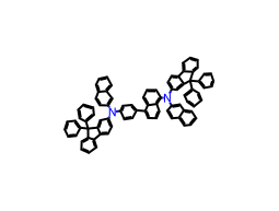 c1ccc(C2(c3ccccc3)c3ccccc3-c3ccc(N(c4ccc(-c5cccc6c(N(c7ccc8c(c7)C(c7ccccc7)(c7ccccc7)c7ccccc7-8)c7ccc8ccccc8c7)cccc56)cc4)c4ccc5ccccc5c4)cc32)cc1